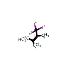 CC(=C(C(=O)O)C(Cl)(Cl)Cl)C(I)(I)I